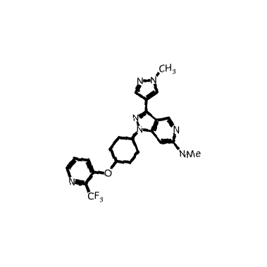 CNc1cc2c(cn1)c(-c1cnn(C)c1)nn2C1CCC(Oc2cccnc2C(F)(F)F)CC1